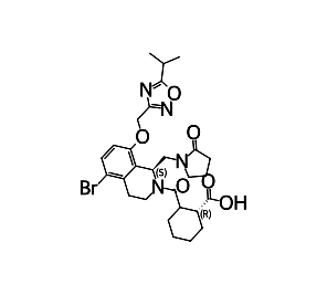 CC(C)c1nc(COc2ccc(Br)c3c2[C@@H](CN2CCCC2=O)N(C(=O)C2CCCC[C@H]2C(=O)O)CC3)no1